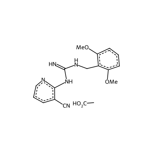 CC(=O)O.COc1cccc(OC)c1CNC(=N)Nc1ncccc1C#N